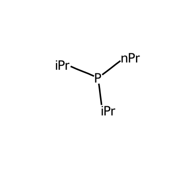 CCCP(C(C)C)C(C)C